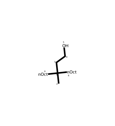 CCCCCCCCC(C)(CCO)CCCCCCCC